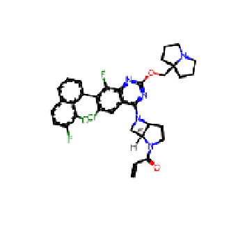 C=CC(=O)N1CCC2[C@H]1CN2c1nc(OCC23CCCN2CCC3)nc2c(F)c(-c3cccc4ccc(F)c(Cl)c34)c(Cl)cc12